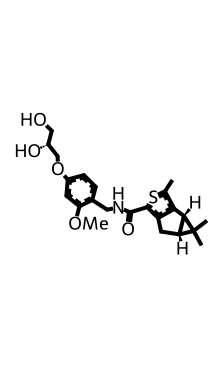 COc1cc(OC[C@H](O)CO)ccc1CNC(=O)c1sc(C)c2c1C[C@@H]1[C@H]2C1(C)C